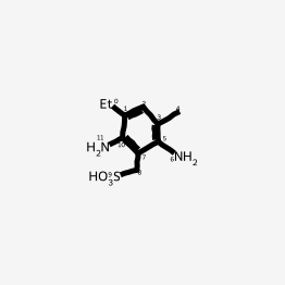 CCc1cc(C)c(N)c(CS(=O)(=O)O)c1N